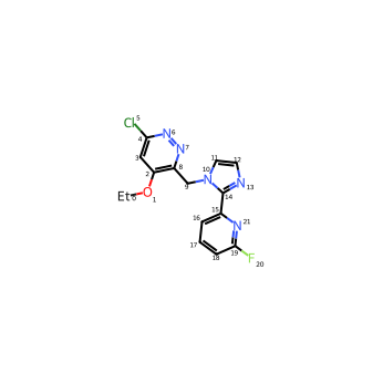 CCOc1cc(Cl)nnc1Cn1ccnc1-c1cccc(F)n1